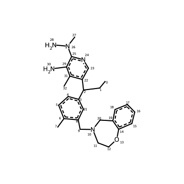 CCC(c1ccc(C)c(CN2CCOc3ccccc3C2)c1)c1cnc(N(C)N)c(N)c1C